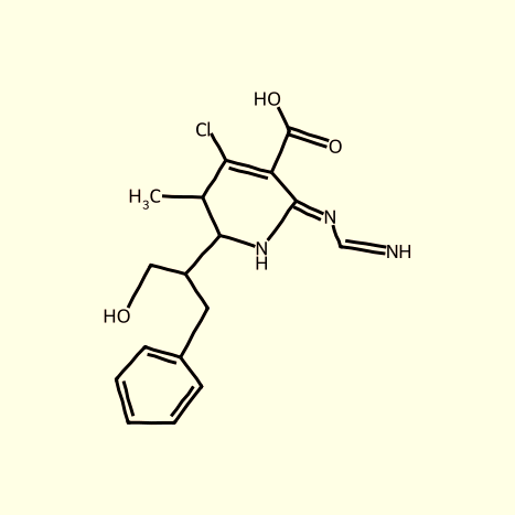 CC1C(Cl)=C(C(=O)O)/C(=N/C=N)NC1C(CO)Cc1ccccc1